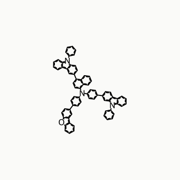 c1ccc(-n2c3ccccc3c3cc(-c4ccc(N(c5ccc(-c6ccc7oc8ccccc8c7c6)cc5)c5ccc(-c6ccc7c8ccccc8n(-c8ccccc8)c7c6)cc5)c5ccccc45)ccc32)cc1